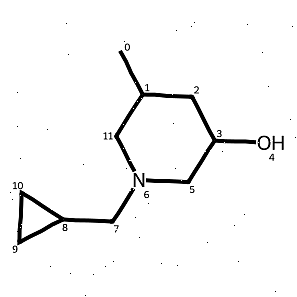 CC1CC(O)CN(CC2CC2)C1